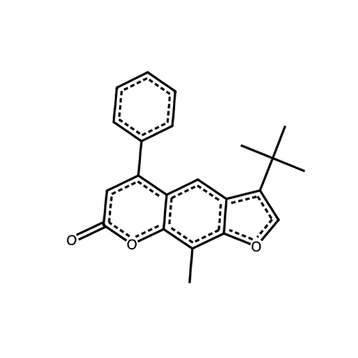 Cc1c2oc(=O)cc(-c3ccccc3)c2cc2c(C(C)(C)C)coc12